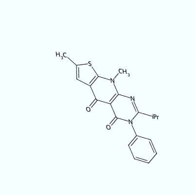 Cc1cc2c(=O)c3c(=O)n(-c4ccccc4)c(C(C)C)nc3n(C)c2s1